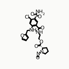 NS(=O)(=O)c1cc(C(=O)NCCOC(=O)[C@@H]2CCCN2N=O)c(NCc2ccco2)cc1Cl